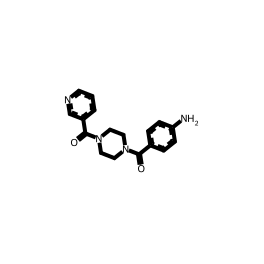 Nc1ccc(C(=O)N2CCN(C(=O)c3cccnc3)CC2)cc1